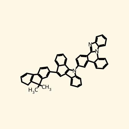 CC1(C)C2=C(C=CCC2)c2ccc(-c3cc4c5ccccc5n(-c5ccc6c(c5)c5ccccc5n5c7ccccc7nc65)c4c4ccccc34)cc21